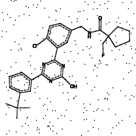 CC(C)(C)c1cccc(-c2nc(O)nc(-c3cc(CNC(=O)C4(CF)CCCC4)ccc3Cl)n2)c1